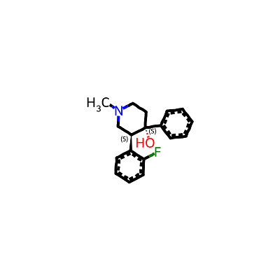 CN1CC[C@@](O)(c2ccccc2)[C@@H](c2ccccc2F)C1